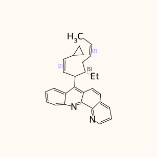 C/C=C\C[C@H](CC)C(/C=C\C1CC1)c1c2ccccc2nc2c1ccc1cccnc12